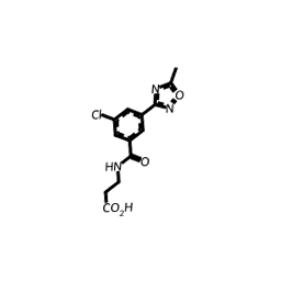 Cc1nc(-c2cc(Cl)cc(C(=O)NCCC(=O)O)c2)no1